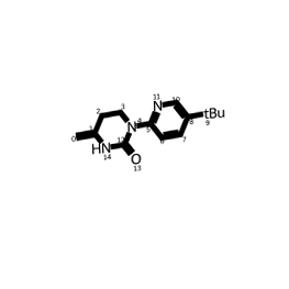 C=C1CCN(c2ccc(C(C)(C)C)cn2)C(=O)N1